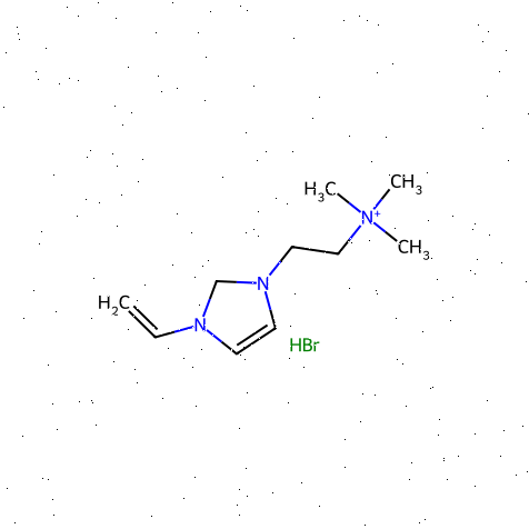 Br.C=CN1C=CN(CC[N+](C)(C)C)C1